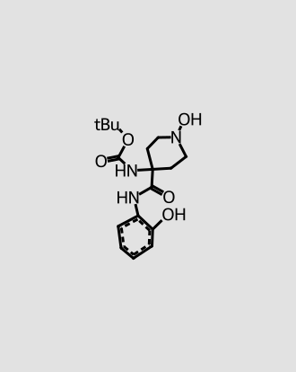 CC(C)(C)OC(=O)NC1(C(=O)Nc2ccccc2O)CCN(O)CC1